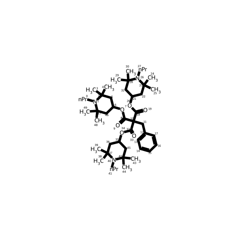 CCCN1C(C)(C)CC(OC(=O)C(Cc2ccccc2)(C(=O)OC2CC(C)(C)N(CCC)C(C)(C)C2)C(=O)OC2CC(C)(C)N(CCC)C(C)(C)C2)CC1(C)C